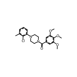 COc1cc(C(=O)N2CCN(c3cccc(C)c3Cl)CC2)cc(OC)c1OC